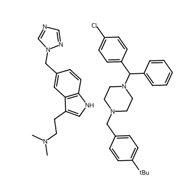 CC(C)(C)c1ccc(CN2CCN(C(c3ccccc3)c3ccc(Cl)cc3)CC2)cc1.CN(C)CCc1c[nH]c2ccc(Cn3cncn3)cc12